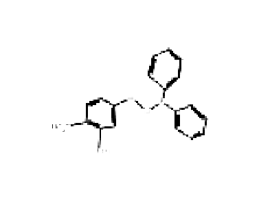 O=C(O)c1ccc(NOP(c2ccccc2)c2ccccc2)cc1C(=O)O